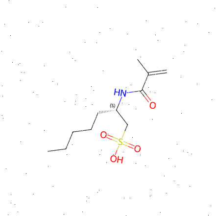 C=C(C)C(=O)N[C@@H](CCCCC)CS(=O)(=O)O